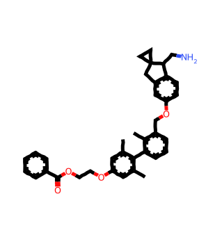 Cc1cc(OCCOC(=O)c2ccccc2)cc(C)c1-c1cccc(COc2ccc3c(c2)CC2(CC2)C3CN)c1C